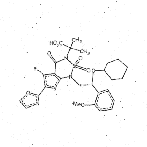 COc1ccccc1[C@H](CN1c2sc(-c3ncco3)c(F)c2C(=O)N(C(C)(C)C(=O)O)S1(=O)=O)OC1CCCCC1